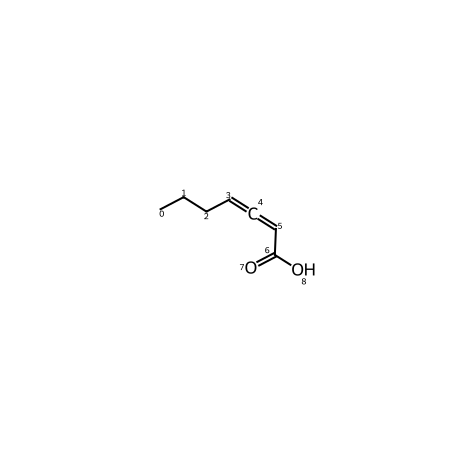 CCCC=C=CC(=O)O